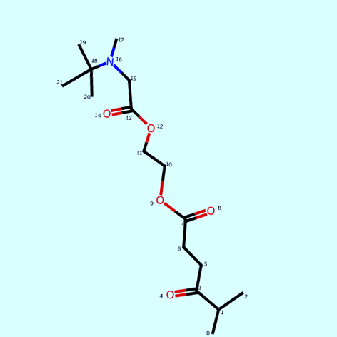 CC(C)C(=O)CCC(=O)OCCOC(=O)CN(C)C(C)(C)C